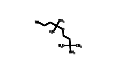 CC(C)(N)CCOC(C)(C)CCS